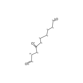 O=CCCCCCC(=O)CCC=O